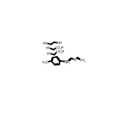 C=COC=C.Cc1ccc(C)cc1.O=C(O)CS.O=C(O)CS.OCCO